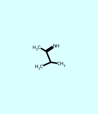 CC(=N)C(C)C